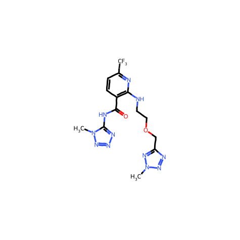 Cn1nnc(COCCNc2nc(C(F)(F)F)ccc2C(=O)Nc2nnnn2C)n1